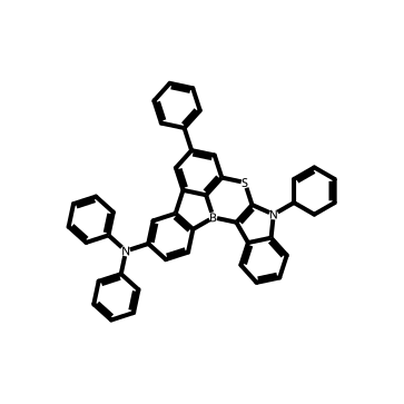 C1=CCC(n2c3c(c4ccccc42)B2c4ccc(N(c5ccccc5)c5ccccc5)cc4-c4cc(-c5ccccc5)cc(c42)S3)C=C1